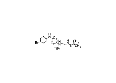 CC(C)CC(OC(=O)Nc1ccc(Br)cc1)C(=O)NCCNSN(C)C